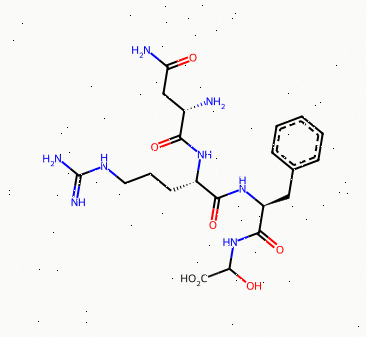 N=C(N)NCCC[C@H](NC(=O)[C@@H](N)CC(N)=O)C(=O)N[C@@H](Cc1ccccc1)C(=O)NC(O)C(=O)O